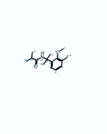 COc1c(F)cccc1C(C)(C)NC(=O)C(C)C